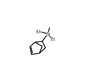 CC[Si](C)(CC)C1CC2C=CC1C2